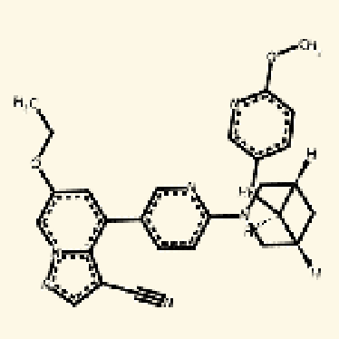 CCOc1cc(-c2ccc(N3C[C@H]4C[C@@H](C3)[C@@H]4Nc3ccc(OC)nc3)nc2)c2c(C#N)cnn2c1